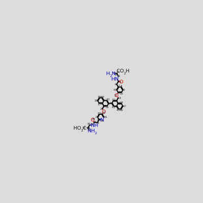 N[C@@H](CNC(=O)Cc1cccc(OCc2cc(-c3cc(COc4ccc(CC(=O)NC[C@H](N)C(=O)O)nc4)c4ccccc4c3)cc3ccccc23)c1)C(=O)O